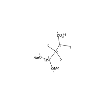 CO[SiH](OC)C(C)(C)C(C)C(=O)O